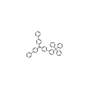 c1ccc(-c2ccc(N(c3ccc(-c4ccccc4)cc3)c3ccc(-c4cccc(S(c5ccccc5)(c5ccccc5)c5ccccc5)c4)cc3)cc2)cc1